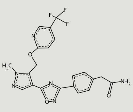 Cn1ncc(-c2nc(-c3ccc(CC(N)=O)cc3)no2)c1COc1ccc(C(F)(F)F)cn1